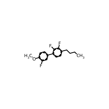 CCCCc1ccc(-c2ccc(OC)c(F)c2)c(F)c1F